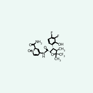 C[C@@H]1[C@@H](c2ccc(F)c(F)c2O)[C@@H](C(=O)NC2=CC(C(N)=O)[N+](=O)C=C2)O[C@]1(C)C(F)(F)F